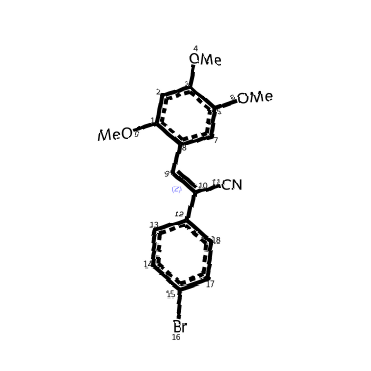 COc1cc(OC)c(OC)cc1/C=C(\C#N)c1ccc(Br)cc1